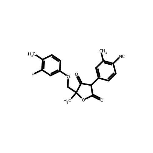 [C-]#[N+]c1ccc(C2C(=O)OC(C)(COc3ccc(C)c(F)c3)C2=O)cc1C